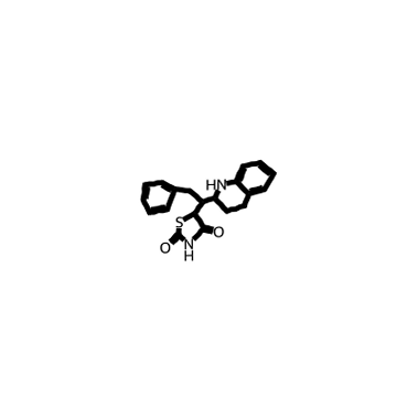 O=C1NC(=O)C(C(Cc2ccccc2)C2CCc3ccccc3N2)S1